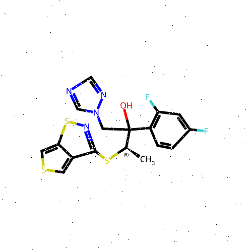 C[C@@H](Sc1nsc2cscc12)C(O)(Cn1cncn1)c1ccc(F)cc1F